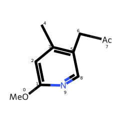 COc1cc(C)c(CC(C)=O)cn1